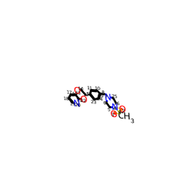 CS(=O)(=O)N1CCN(Cc2ccc([C@H]3COc4cccnc4O3)cc2)CC1